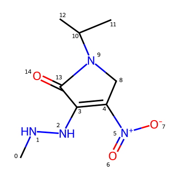 CNNC1=C([N+](=O)[O-])CN(C(C)C)C1=O